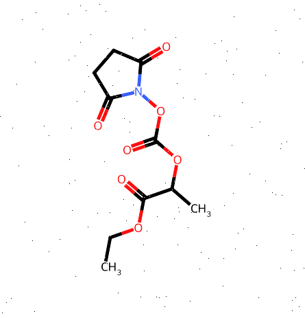 CCOC(=O)C(C)OC(=O)ON1C(=O)CCC1=O